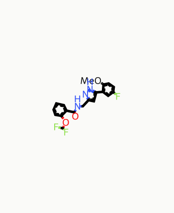 COc1ccc(F)cc1-c1cc(CNC(=O)c2ccccc2OC(F)F)n[nH]1